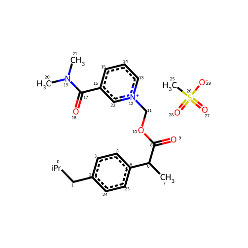 CC(C)Cc1ccc(C(C)C(=O)OC[n+]2cccc(C(=O)N(C)C)c2)cc1.CS(=O)(=O)[O-]